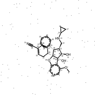 COc1cncc2c1[C@]1(O)[C@H](O)[C@H](CNC3CC3)[C@@H](c3ccccc3)[C@]1(C1C=CC(C#N)=CC1)O2